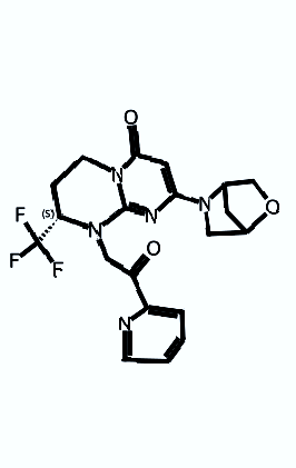 O=C(CN1c2nc(N3CC4CC3CO4)cc(=O)n2CC[C@H]1C(F)(F)F)c1ccccn1